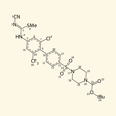 CS/C(=N\C#N)Nc1cc(Cl)c(-c2ccc(S(=O)(=O)N3CCN(C(=O)OC(C)(C)C)CC3)cc2)c(C(F)(F)F)c1